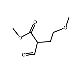 COCCC(C=O)C(=O)OC